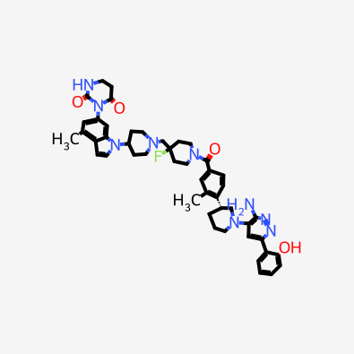 Cc1cc(C(=O)N2CCC(F)(CN3CCC(n4ccc5c(C)cc(N6C(=O)CCNC6=O)cc54)CC3)CC2)ccc1[C@H]1CCCN(c2cc(-c3ccccc3O)nnc2N)C1